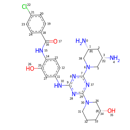 N[C@@H]1C[C@H](N)CN(c2nc(Nc3ccc(NC(=O)c4ccc(Cl)cc4)c(O)c3)nc(N3CCC[C@@H](O)C3)n2)C1